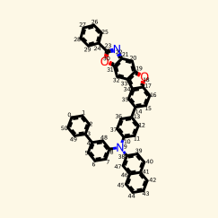 c1ccc(-c2cccc(N(c3ccc(-c4ccc5oc6cc7nc(-c8ccccc8)oc7cc6c5c4)cc3)c3ccc4ccccc4c3)c2)cc1